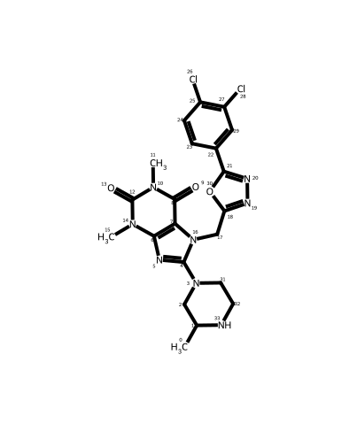 CC1CN(c2nc3c(c(=O)n(C)c(=O)n3C)n2Cc2nnc(-c3ccc(Cl)c(Cl)c3)o2)CCN1